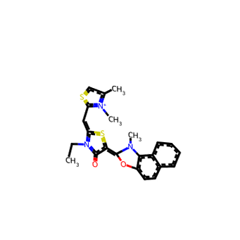 CCn1c(=O)/c(=C2\Oc3ccc4ccccc4c3N2C)s/c1=C\c1scc(C)[n+]1C